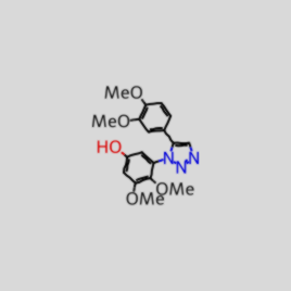 COc1ccc(-c2cnnn2-c2cc(O)cc(OC)c2OC)cc1OC